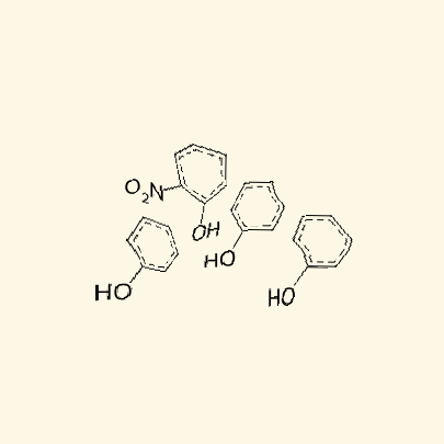 O=[N+]([O-])c1ccccc1O.Oc1ccccc1.Oc1ccccc1.Oc1ccccc1